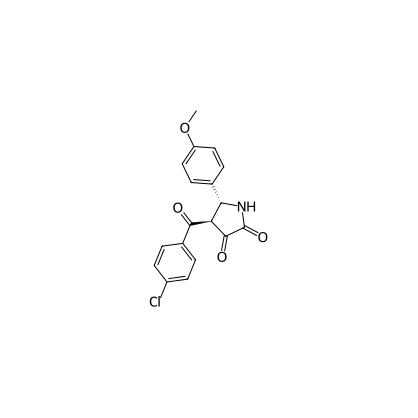 COc1ccc([C@@H]2NC(=O)C(=O)[C@H]2C(=O)c2ccc(Cl)cc2)cc1